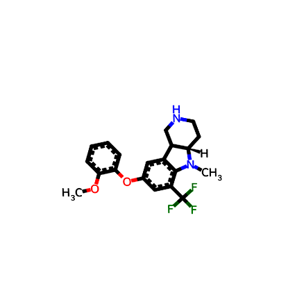 COc1ccccc1Oc1cc2c(c(C(F)(F)F)c1)N(C)[C@H]1CCNCC21